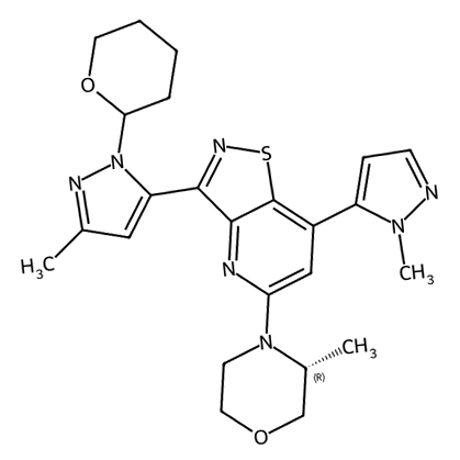 Cc1cc(-c2nsc3c(-c4ccnn4C)cc(N4CCOC[C@H]4C)nc23)n(C2CCCCO2)n1